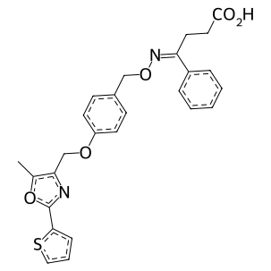 Cc1oc(-c2cccs2)nc1COc1ccc(CON=C(CCC(=O)O)c2ccccc2)cc1